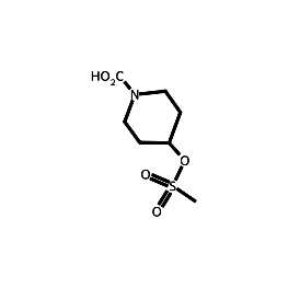 CS(=O)(=O)OC1CCN(C(=O)O)CC1